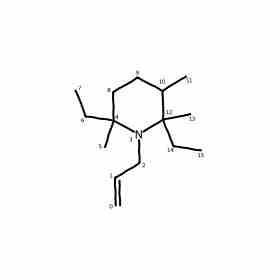 C=CCN1C(C)(CC)CCC(C)C1(C)CC